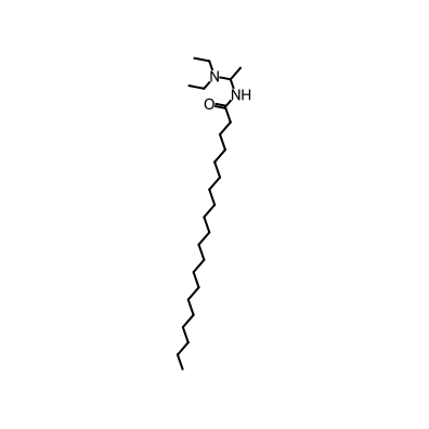 CCCCCCCCCCCCCCCCCCCC(=O)NC(C)N(CC)CC